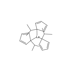 CC(C)[C]1([La]([C]2(C(C)C)C=CC=C2)[C]2(C(C)C)C=CC=C2)C=CC=C1